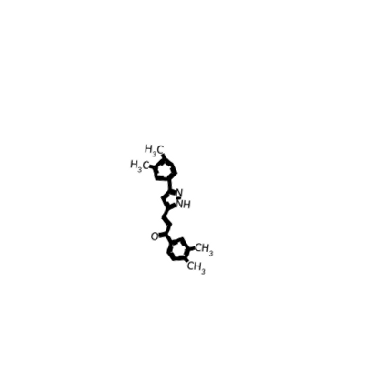 Cc1ccc(C(=O)/C=C/c2cc(-c3ccc(C)c(C)c3)n[nH]2)cc1C